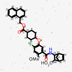 COc1cc(F)c(OC2CCC(C(=O)OCc3cccc4ccccc34)CC2)cc1C(=O)NC1C2C=CC(C2)C1C(=O)O